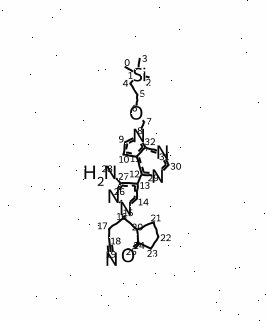 C[Si](C)(C)CCOCn1ccc2c(-c3cn(C(CC#N)C4CCCC4=O)nc3N)ncnc21